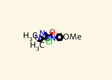 COc1ccc(NC(=O)c2cnc3c(c(C)cn3C)c2Cl)cc1